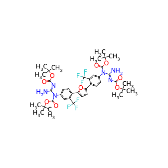 CC(C)(C)OC(=O)N=C(N)N(C(=O)OC(C)(C)C)c1ccc(-c2ccc(-c3ccc(N(C(=O)OC(C)(C)C)C(N)=NC(=O)OC(C)(C)C)cc3C(F)(F)F)o2)c(C(F)(F)F)c1